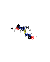 COc1ccccc1N(C)CCC[N+](C)(C)CCSSCCN(C)CCCN(C)c1ccccc1C=O